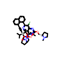 CC(C)[Si](C#Cc1cccc2cccc(-c3ncc4c(N5CC6CCC(C5)N6C(=O)OC(C)(C)C)nc(OC[C@@H]5CCCN5C)nc4c3F)c12)(C(C)C)C(C)C